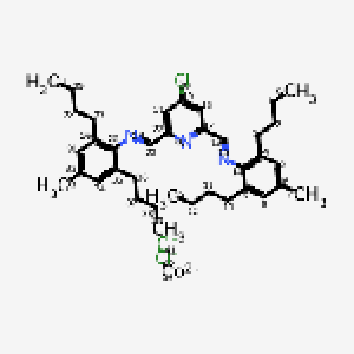 CCCCc1cc(C)cc(CCCC)c1N=Cc1cc(Cl)cc(C=Nc2c(CCCC)cc(C)cc2CCCC)n1.[Cl-].[Cl-].[Co+2]